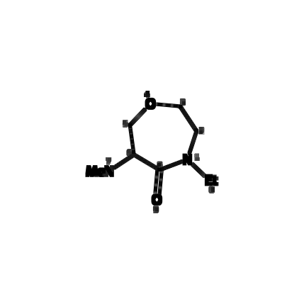 CCN1CCOCC(NC)C1=O